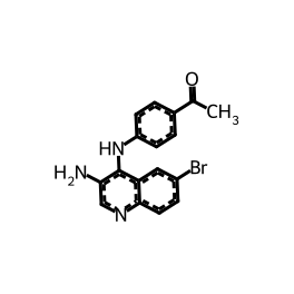 CC(=O)c1ccc(Nc2c(N)cnc3ccc(Br)cc23)cc1